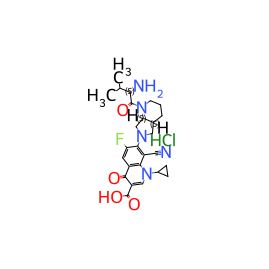 CC(C)[C@H](N)C(=O)N1CCC[C@H]2CN(c3c(F)cc4c(=O)c(C(=O)O)cn(C5CC5)c4c3C#N)C[C@H]21.Cl